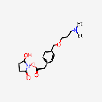 CCN(CC)CCCOCc1ccc(CC(=O)ON2C(=O)CCC2O)cc1